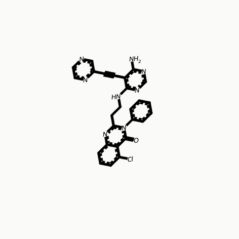 Nc1ncnc(NCCc2nc3cccc(Cl)c3c(=O)n2-c2ccccc2)c1C#Cc1cnccn1